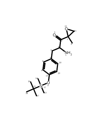 CC1(C(=O)C(N)Cc2ccc(O[Si](C)(C)C(C)(C)C)cc2)CO1